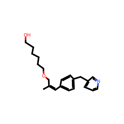 CC(=Cc1ccc(Cc2cccnc2)cc1)COCCCCCCO